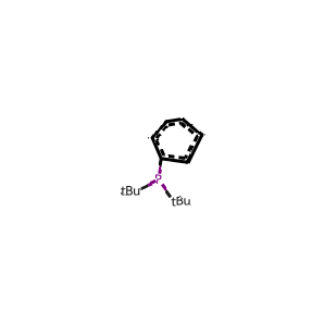 CC(C)(C)P(c1[c]cccc1)C(C)(C)C